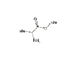 CCCCOC(=O)C(N)C(C)CC